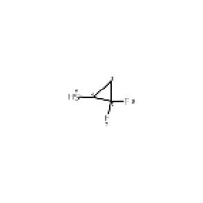 FC1(F)CC1S